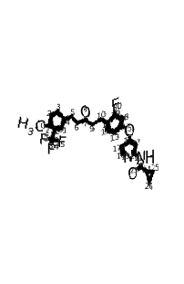 Cc1ccc(CCC(=O)CCc2ccc(Oc3ccnc(NC(=O)C4CC4)c3)cc2F)cc1C(F)(F)F